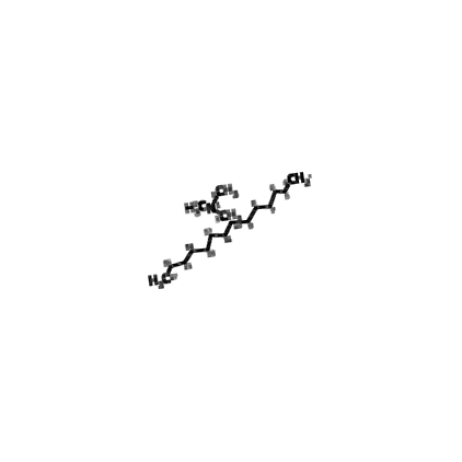 CN(C)C.[CH2]CCCCCCCCCCCCC